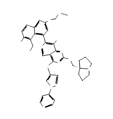 CCc1c(F)ccc2cc(OCOC)cc(-c3ncc4c(Nc5cnn(-c6ccncc6)c5)nc(OC[C@@]56CCCN5C[C@H](F)C6)nc4c3F)c12